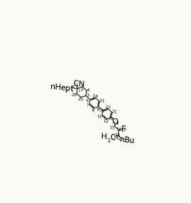 CCCCCCCC1(C#N)CCC(c2ccc(-c3ccc(OCC(F)C(C)CCCC)cc3)cc2)CC1